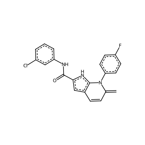 C=C1C=Cc2cc(C(=O)Nc3cccc(Cl)c3)[nH]c2N1c1ccc(F)cc1